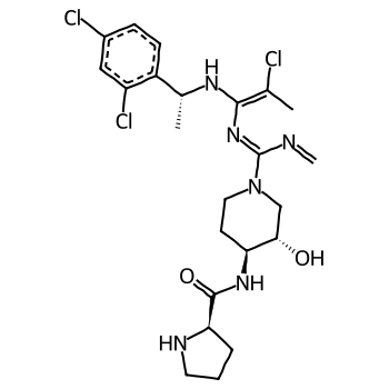 C=N/C(=N\C(N[C@H](C)c1ccc(Cl)cc1Cl)=C(/C)Cl)N1CC[C@H](NC(=O)[C@H]2CCCN2)[C@@H](O)C1